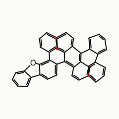 c1ccc(-c2ccccc2-c2c3ccccc3c(-c3ccc4c(oc5ccccc54)c3-c3ccccc3)c3ccccc23)cc1